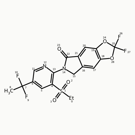 CCS(=O)(=O)c1cc(C(C)(F)F)cnc1N1Cc2cc3c(cc2C1=O)OC(F)(F)O3